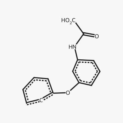 O=C(O)C(=O)Nc1cccc(Oc2ccccc2)c1